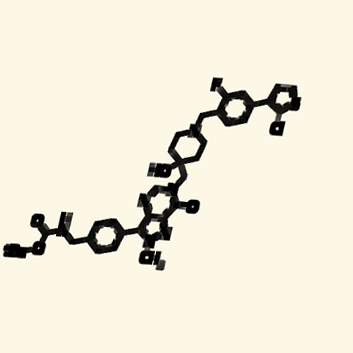 Cn1nc2c(=O)n(CC3(O)CCN(Cc4ccc(-c5ccsc5Cl)cc4F)CC3)cnc2c1-c1ccc(CNC(=O)OC(C)(C)C)cc1